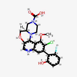 COc1c(Cl)c(-c2c(O)cccc2F)cc2ncc3c(c12)N1CCN(C(=O)O)C[C@@H]1CO3